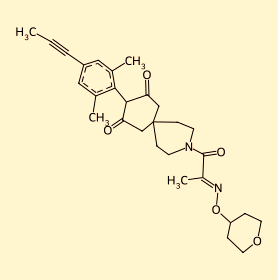 CC#Cc1cc(C)c(C2C(=O)CC3(CCN(C(=O)/C(C)=N/OC4CCOCC4)CC3)CC2=O)c(C)c1